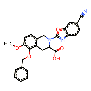 COc1ccc2c(c1OCc1ccccc1)CC(C(=O)O)N(c1nc3ccc(C#N)cc3o1)C2